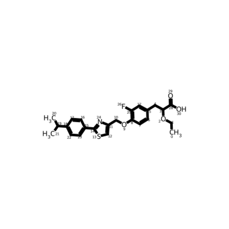 CCOC(Cc1ccc(OCc2csc(-c3ccc(C(C)C)cc3)n2)c(F)c1)C(=O)O